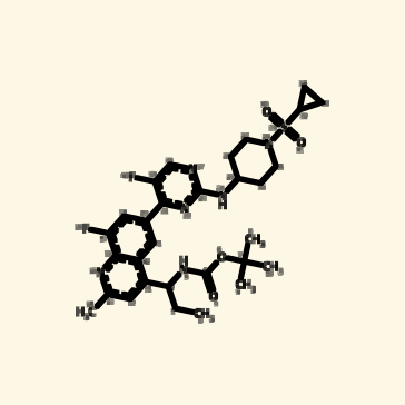 CCC(NC(=O)OC(C)(C)C)c1cc(C)nc2c(F)cc(-c3nc(NC4CCN(S(=O)(=O)C5CC5)CC4)ncc3F)cc12